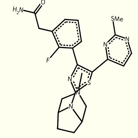 CSc1nccc(-c2sc(N3C4CCC3CN(C)C4)nc2-c2cccc(CC(N)=O)c2F)n1